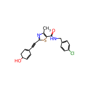 Cc1nc(C#CC2=CCC(O)C=C2)sc1C(=O)NCc1ccc(Cl)cc1